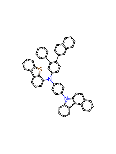 c1ccc(-c2cc(N(c3ccc(-n4c5ccccc5c5c6ccccc6ccc54)cc3)c3cccc4c3sc3ccccc34)ccc2-c2ccc3ccccc3c2)cc1